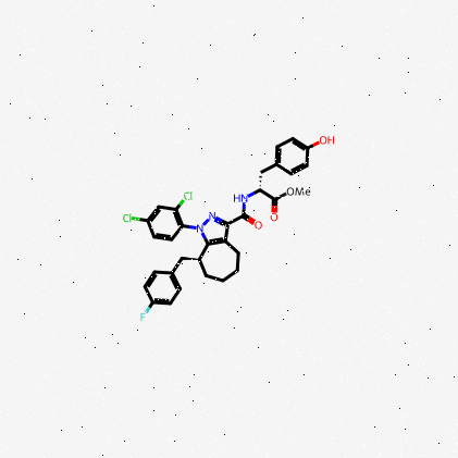 COC(=O)[C@@H](Cc1ccc(O)cc1)NC(=O)c1nn(-c2ccc(Cl)cc2Cl)c2c1CCCC[C@H]2Cc1ccc(F)cc1